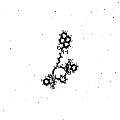 O=C(NCCCCCN1CCCN(S(=O)(=O)c2ccccc2[N+](=O)[O-])Cc2cccc(n2)CN(S(=O)(=O)c2ccccc2[N+](=O)[O-])CC1)c1ccc2ccc3cccc4ccc1c2c34